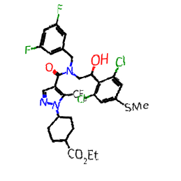 CCOC(=O)C1CCC(n2ncc(C(=O)N(Cc3cc(F)cc(F)c3)CC(O)c3c(Cl)cc(SC)cc3Cl)c2C(F)(F)F)CC1